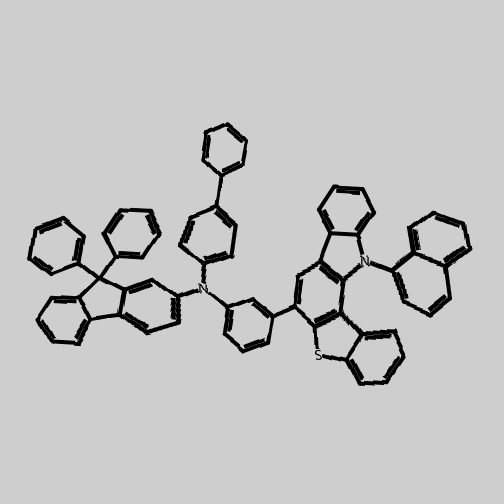 c1ccc(-c2ccc(N(c3cccc(-c4cc5c6ccccc6n(-c6cccc7ccccc67)c5c5c4sc4ccccc45)c3)c3ccc4c(c3)C(c3ccccc3)(c3ccccc3)c3ccccc3-4)cc2)cc1